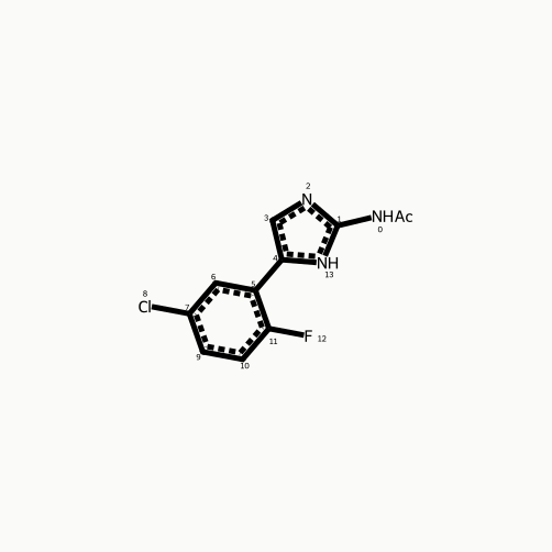 CC(=O)Nc1ncc(-c2cc(Cl)ccc2F)[nH]1